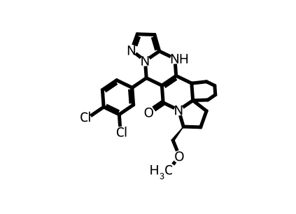 COC[C@@H]1CCC23CCCCC2C2=C(C(=O)N13)C(c1ccc(Cl)c(Cl)c1)n1nccc1N2